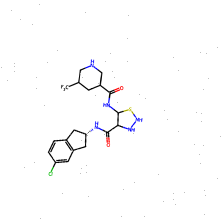 O=C(NC1SNNC1C(=O)N[C@H]1Cc2ccc(Cl)cc2C1)C1CNCC(C(F)(F)F)C1